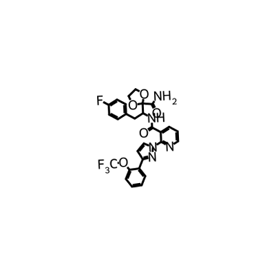 NC(=O)C1(C(Cc2ccc(F)cc2)NC(=O)c2cccnc2-n2ccc(-c3ccccc3OC(F)(F)F)n2)OCCO1